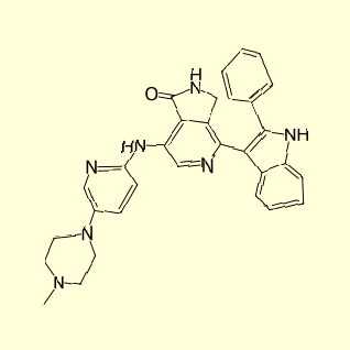 CN1CCN(c2ccc(Nc3cnc(-c4c(-c5ccccc5)[nH]c5ccccc45)c4c3C(=O)NC4)nc2)CC1